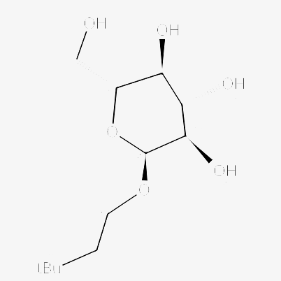 CC(C)(C)CCO[C@H]1O[C@H](CO)[C@@H](O)[C@H](O)[C@H]1O